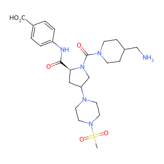 CS(=O)(=O)N1CCN(C2C[C@@H](C(=O)Nc3ccc(C(=O)O)cc3)N(C(=O)N3CCC(CN)CC3)C2)CC1